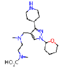 CN(CCN(C)C(=O)O)Cc1cn(C2CCCCO2)nc1C1CCNCC1